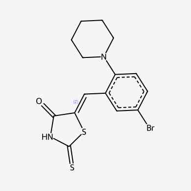 O=C1NC(=S)S/C1=C\c1cc(Br)ccc1N1CCCCC1